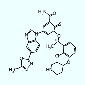 Cc1nnc(-c2ccc3c(c2)ncn3C2=CC(O[C@H](C)c3cccc(OC4CCNCC4)c3Cl)C(=S)C(C(N)=O)=C2)o1